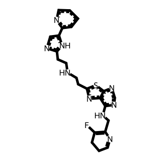 FC1=C(CNc2ncnc3sc(CCNCCc4ncc(-c5ccccn5)[nH]4)nc23)N=CCC1